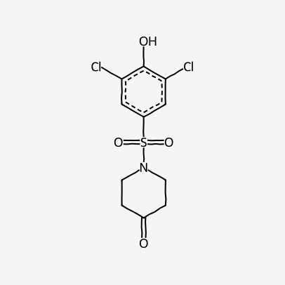 O=C1CCN(S(=O)(=O)c2cc(Cl)c(O)c(Cl)c2)CC1